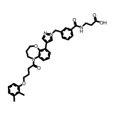 Cc1cccc(OCCCC(=O)N2CCCOc3c(-c4cnn(Cc5cccc(C(=O)NCCC(=O)O)c5)c4)cccc32)c1C